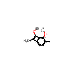 CCOC1=C([SiH3])c2ccc(C)c(OCC)c21